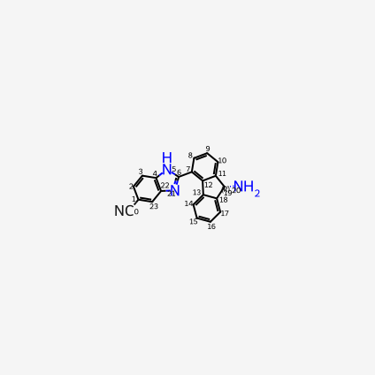 N#Cc1ccc2[nH]c(-c3cccc4c3-c3ccccc3[C@H]4N)nc2c1